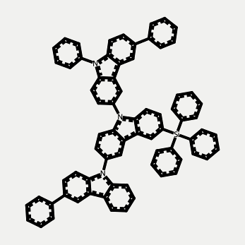 c1ccc(-c2ccc3c(c2)c2ccccc2n3-c2ccc3c(c2)c2cc([Si](c4ccccc4)(c4ccccc4)c4ccccc4)ccc2n3-c2ccc3c(c2)c2cc(-c4ccccc4)ccc2n3-c2ccccc2)cc1